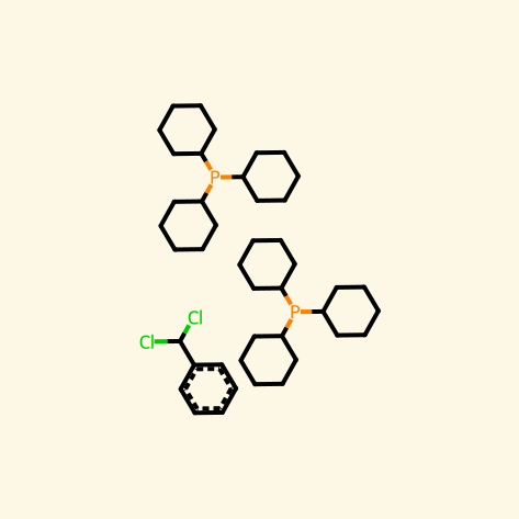 C1CCC(P(C2CCCCC2)C2CCCCC2)CC1.C1CCC(P(C2CCCCC2)C2CCCCC2)CC1.ClC(Cl)c1ccccc1